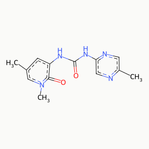 Cc1cc(NC(=O)Nc2cnc(C)cn2)c(=O)n(C)c1